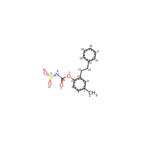 Cc1ccc(OC(=O)N=S(=O)=O)c(CCc2ccccc2)c1